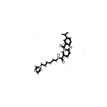 CC(C)c1ccc2nc3ccc(C(=O)NCCCCCCn4ccnc4)cn3c(=O)c2c1